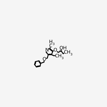 CCc1c(COCc2ccccc2)cnc(C)c1OC[C@H](O)CC